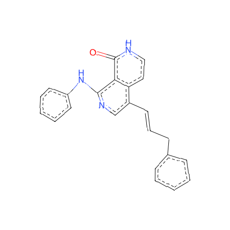 O=c1[nH]ccc2c(C=CCc3ccccc3)cnc(Nc3ccccc3)c12